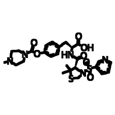 CN1CCN(C(=O)Oc2ccc(C[C@H](NC(=O)[C@H]3N(S(=O)(=O)c4cccnc4)CSC3(C)C)C(=O)O)cc2)CC1